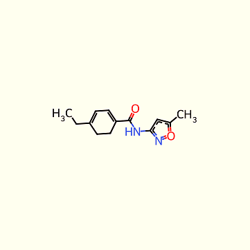 CCC1=CC=C(C(=O)Nc2cc(C)on2)CC1